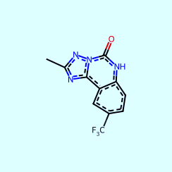 Cc1nc2c3cc(C(F)(F)F)ccc3[nH]c(=O)n2n1